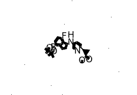 COC(=O)[C@H]1C[C@@H]1c1ccc(N[C@@H]2CCc3c(B4OC(C)(C)C(C)(C)O4)ccc(F)c32)cn1